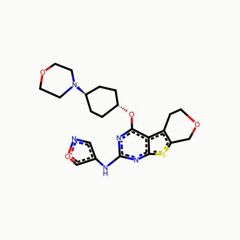 c1nocc1Nc1nc(O[C@H]2CC[C@H](N3CCOCC3)CC2)c2c3c(sc2n1)COCC3